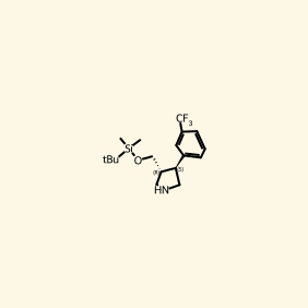 CC(C)(C)[Si](C)(C)OC[C@H]1CNC[C@@H]1c1cccc(C(F)(F)F)c1